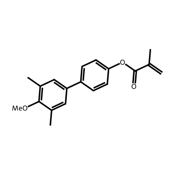 C=C(C)C(=O)Oc1ccc(-c2cc(C)c(OC)c(C)c2)cc1